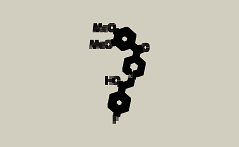 COc1ccc(C(=O)C2CCN(CC(O)c3ccc(F)cc3)CC2)cc1OC